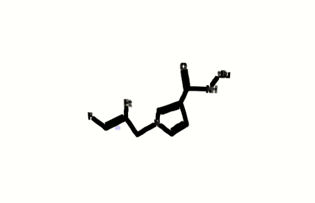 CC/C(=C\F)Cn1ccc(C(=O)NC(C)(C)C)c1